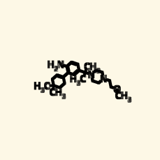 COCCN1CCN(C(C)(C)c2ccc(N)c(C3=CCC(C)(C)CC3)c2)CC1